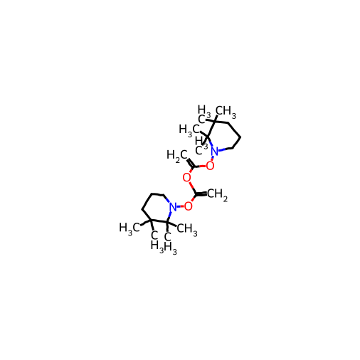 C=C(OC(=C)ON1CCCC(C)(C)C1(C)C)ON1CCCC(C)(C)C1(C)C